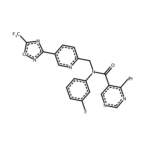 CC(C)c1ncncc1C(=O)N(Cc1ccc(-c2noc(C(F)(F)F)n2)cn1)c1cccc(F)c1